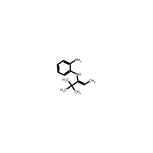 C/C=C(\Nc1ccccc1N)C(C)(C)C